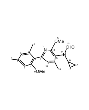 COc1cc(C)cc(C)c1-c1nc(C)c(N(C=O)C2CC2)c(OC)n1